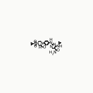 NC(=O)c1cnc(Nc2ccc3c(c2)OC[C@H]2CN(S(=O)(=O)C4CC4)CCN32)nc1NC1CC1